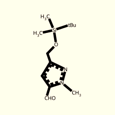 Cn1nc(CO[Si](C)(C)C(C)(C)C)cc1C=O